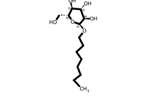 CCCCCCCCO[C@H]1O[C@H](CO)[C@@H](O)[C@H](O)[C@H]1O